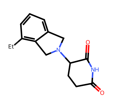 CCc1cccc2c1CN(C1CCC(=O)NC1=O)C2